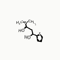 CN(C)C(O)CC(O)c1cccs1